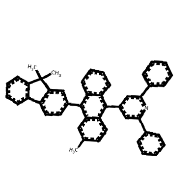 Cc1ccc2c(-c3cc(-c4ccccc4)nc(-c4ccccc4)c3)c3ccccc3c(-c3ccc4c(c3)C(C)(C)c3ccccc3-4)c2c1